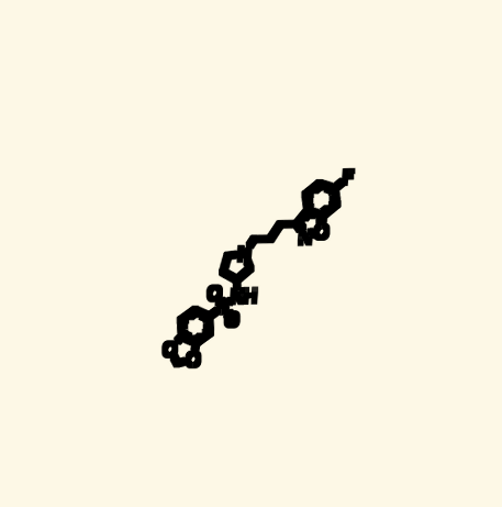 O=S(=O)(NC1CCN(CCCc2noc3cc(F)ccc23)C1)c1ccc2c(c1)OCO2